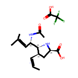 C/C=C\[C@@H]1C[C@H](C(=O)O)N[C@H]1[C@H](C=C(C)C)NC(C)=O.O=C(O)C(F)(F)F